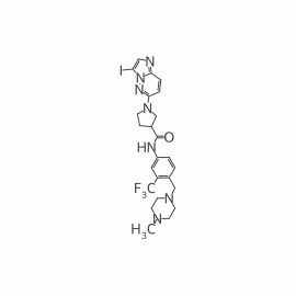 CN1CCN(Cc2ccc(NC(=O)C3CCN(c4ccc5ncc(I)n5n4)C3)cc2C(F)(F)F)CC1